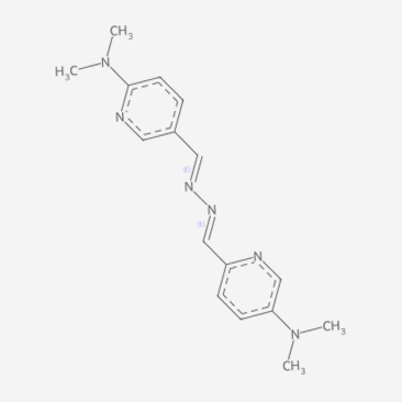 CN(C)c1ccc(/C=N/N=C/c2ccc(N(C)C)nc2)nc1